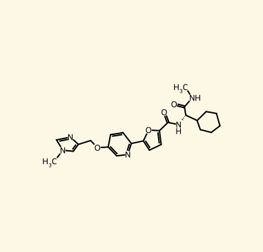 CNC(=O)[C@@H](NC(=O)c1ccc(-c2ccc(OCc3cn(C)cn3)cn2)o1)C1CCCCC1